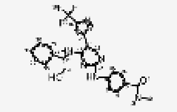 CN(C)C(=O)c1ccc(Nc2ncc(-c3nc(C(F)(F)F)no3)c(N[C@H](CO)c3ccccc3)n2)cc1